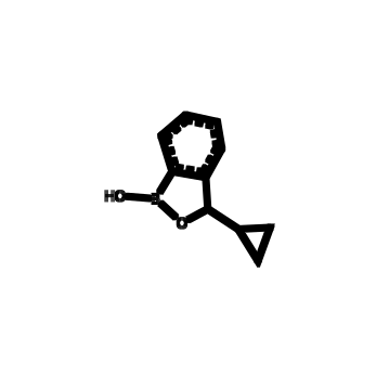 OB1OC(C2CC2)c2ccccc21